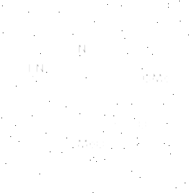 COC(=O)c1cc(N)ncc1OC